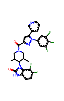 CC1CN(C(=O)c2cc(-c3cccnc3)n(-c3cc(F)c(F)c(F)c3)n2)CC(C)C1n1c(=O)[nH]c2ccc(F)c(F)c21